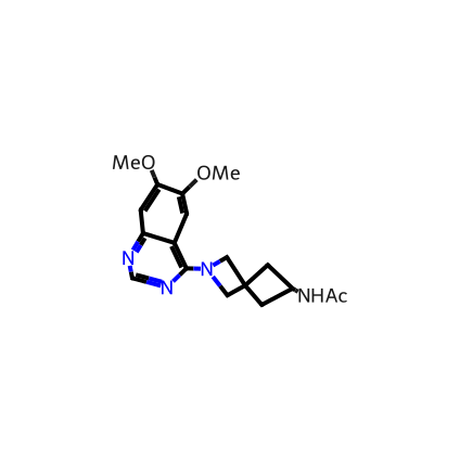 COc1cc2ncnc(N3CC4(CC(NC(C)=O)C4)C3)c2cc1OC